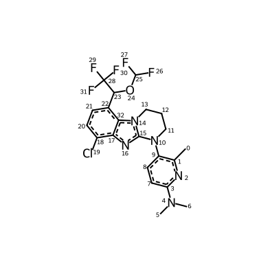 Cc1nc(N(C)C)ccc1N1CCCn2c1nc1c(Cl)ccc(C(OC(F)F)C(F)(F)F)c12